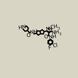 Cn1nc(C2CC3CC(CNC(=O)C4CCNCC4)CC3C2)c(C(=O)Nc2ccc(F)c(Cl)c2)c1N